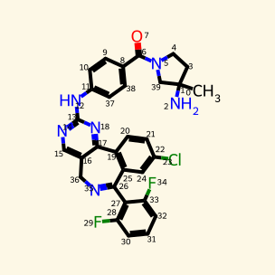 CC1(N)CCN(C(=O)c2ccc(Nc3ncc4c(n3)-c3ccc(Cl)cc3C(c3c(F)cccc3F)=NC4)cc2)C1